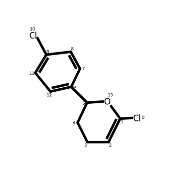 ClC1=CCCC(c2ccc(Cl)cc2)O1